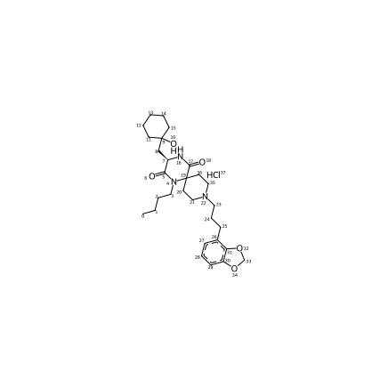 CCCCN1C(=O)[C@@H](CC2(O)CCCCC2)NC(=O)C12CCN(CCCc1cccc3c1OCO3)CC2.Cl